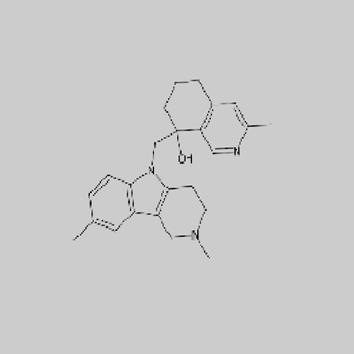 Cc1ccc2c(c1)c1c(n2CC2(O)CCCc3cc(C)ncc32)CCN(C)C1